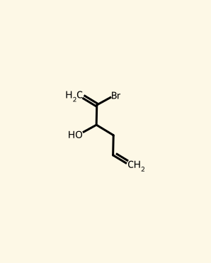 C=CCC(O)C(=C)Br